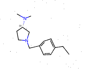 CCc1ccc(CN2CC[C@H](N(C)C)C2)cc1